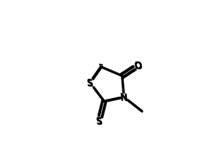 CN1C(=O)[C]SC1=S